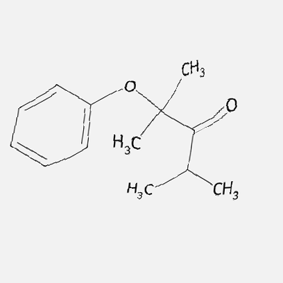 CC(C)C(=O)C(C)(C)Oc1ccccc1